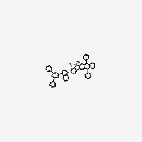 CC1(C)c2cc(-c3ccc(-c4nc(-c5ccccc5)nc(-c5ccccc5)n4)c4ccccc34)ccc2-c2cc3c(-c4ccccc4)c4ccccc4c(-c4ccccc4)c3cc21